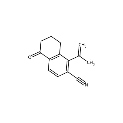 C=C(C)c1c(C#N)ccc2c1CCCC2=O